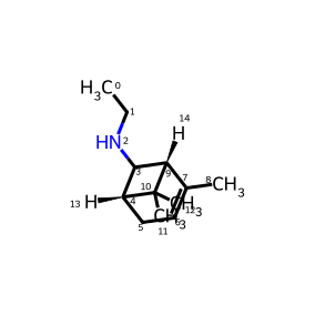 CCNC1[C@H]2CC=C(C)[C@@H]1C2(C)C